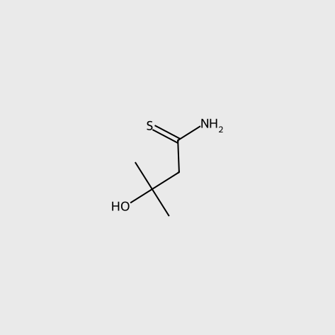 CC(C)(O)CC(N)=S